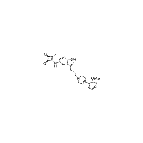 COc1cncnc1N1CCN(CCCc2c[nH]c3ccc(Nc4c(C)c(=O)c4=O)cc23)CC1